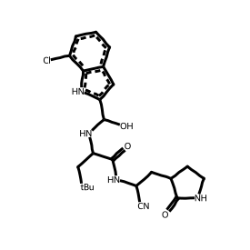 CC(C)(C)CC(NC(O)c1cc2cccc(Cl)c2[nH]1)C(=O)NC(C#N)CC1CCNC1=O